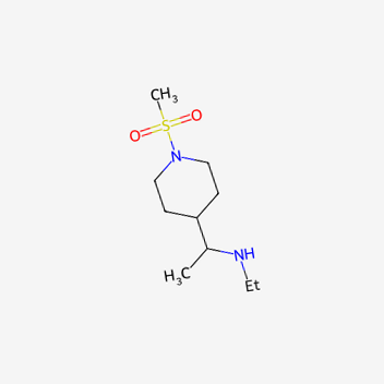 CCNC(C)C1CCN(S(C)(=O)=O)CC1